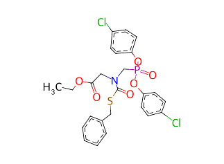 CCOC(=O)CN(CP(=O)(Oc1ccc(Cl)cc1)Oc1ccc(Cl)cc1)C(=O)SCc1ccccc1